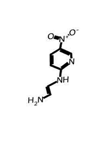 N/C=C/Nc1ccc([N+](=O)[O-])cn1